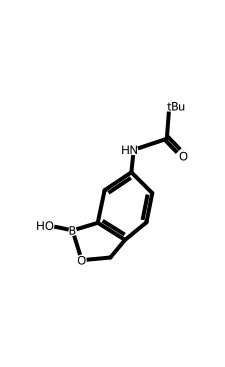 CC(C)(C)C(=O)Nc1ccc2c(c1)B(O)OC2